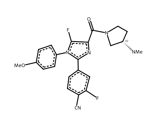 CN[C@H]1CCN(C(=O)c2nc(-c3ccc(C#N)c(F)c3)n(-c3ccc(OC)cc3)c2F)C1